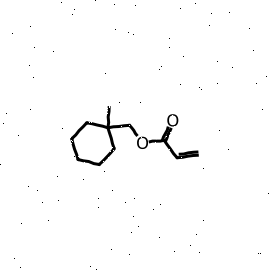 C=CC(=O)OCC1(C)CCCCC1